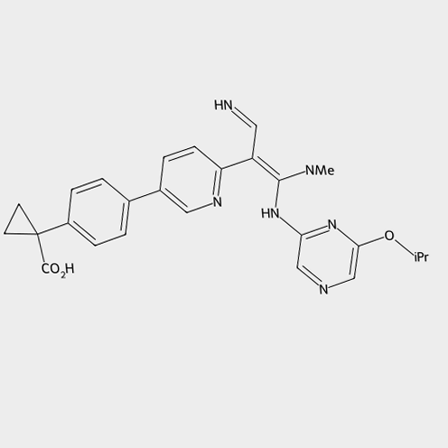 CN/C(Nc1cncc(OC(C)C)n1)=C(\C=N)c1ccc(-c2ccc(C3(C(=O)O)CC3)cc2)cn1